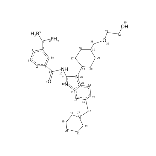 BC(P)c1cccc(C(=O)Nc2nc3cc(CN4CCCCC4)ccc3n2C2CCC(COCCO)CC2)c1